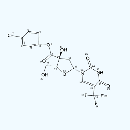 O=C(Oc1ccc(Cl)cc1)[C@]1(O)C[C@H](n2cc(C(F)(F)F)c(=O)[nH]c2=O)O[C@@H]1CO